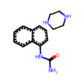 C1CNCCN1.NC(=O)Nc1cccc2ccccc12